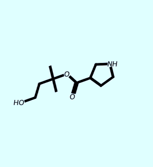 CC(C)(CCO)OC(=O)C1CCNC1